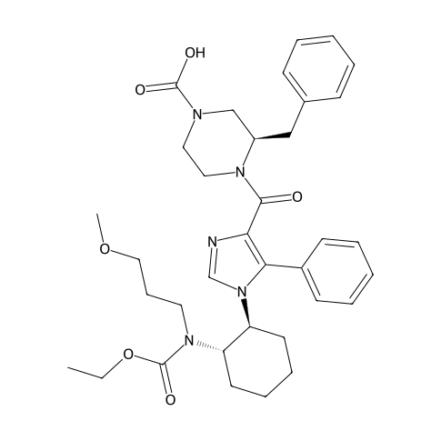 CCOC(=O)N(CCCOC)[C@H]1CCCC[C@@H]1n1cnc(C(=O)N2CCN(C(=O)O)C[C@H]2Cc2ccccc2)c1-c1ccccc1